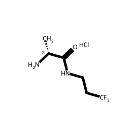 C[C@@H](N)C(=O)NCCC(F)(F)F.Cl